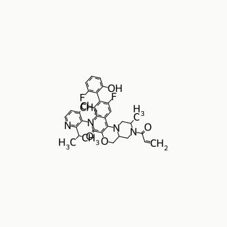 C=CC(=O)N1CC2COc3c(c4cc(F)c(-c5c(O)cccc5F)c(Cl)c4n(-c4c(C)ccnc4C(C)C)c3=O)N2CC1C